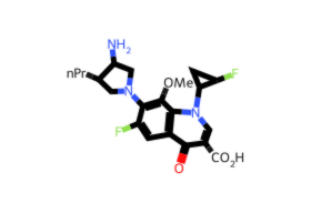 CCCC1CN(c2c(F)cc3c(=O)c(C(=O)O)cn(C4CC4F)c3c2OC)CC1N